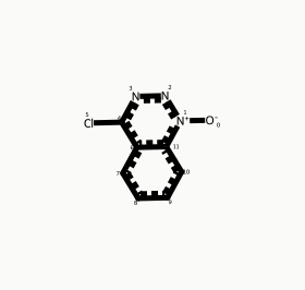 [O-][n+]1nnc(Cl)c2ccccc21